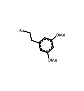 CCC(C)CCc1cc(OC)cc(OC)c1